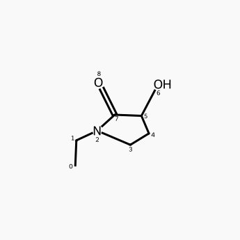 CCN1CCC(O)C1=O